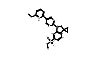 CCc1cccc(-c2cnc(N3CC4(CC4)c4ccc(S(=O)(=O)CC)cc43)nc2)n1